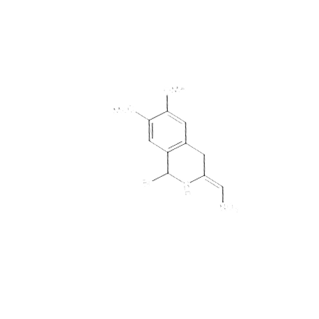 COc1cc2c(cc1OC)C(Br)NC(=C[N+](=O)[O-])C2